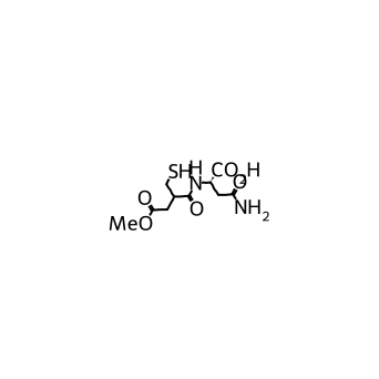 COC(=O)CC(CS)C(=O)N[C@@H](CC(N)=O)C(=O)O